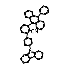 N#Cc1c(-c2ccc(-n3c4ccccc4c4ccccc43)cc2)cccc1-c1c2ccccc2c(-c2ccccc2)c2ccccc12